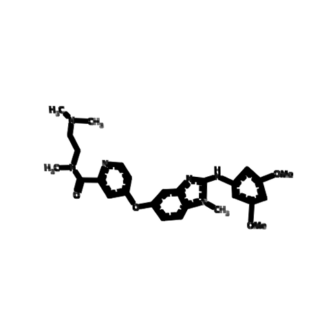 COc1cc(Nc2nc3cc(Oc4ccnc(C(=O)N(C)CCN(C)C)c4)ccc3n2C)cc(OC)c1